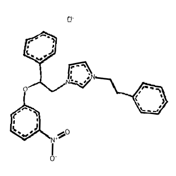 O=[N+]([O-])c1cccc(OC(C[n+]2ccn(CCc3ccccc3)c2)c2ccccc2)c1.[Cl-]